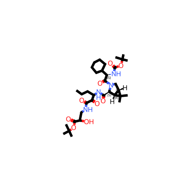 CCCC(NC(=O)[C@@H]1[C@@H]2[C@H](CN1C(=O)[C@@H](NC(=O)OC(C)(C)C)C1CCCCC1)C2(C)C)C(=O)C(=O)NCC(O)C(=O)OC(C)(C)C